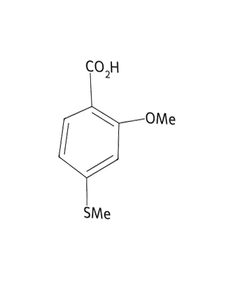 COc1cc(SC)ccc1C(=O)O